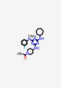 CCCCC(=O)N1CCC(Nc2nc(NC3CCCCCC3)nc(N(OC)c3cccc(F)c3)n2)CC1